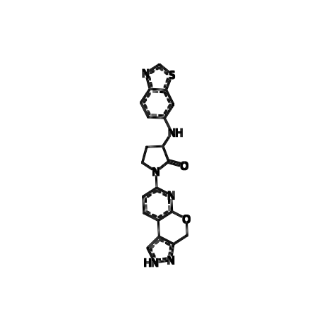 O=C1C(Nc2ccc3ncsc3c2)CCN1c1ccc2c(n1)OCc1n[nH]cc1-2